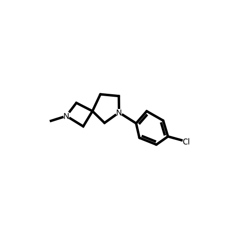 CN1CC2(CCN(c3ccc(Cl)cc3)C2)C1